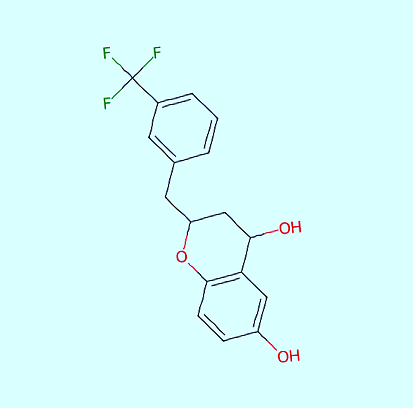 Oc1ccc2c(c1)C(O)CC(Cc1cccc(C(F)(F)F)c1)O2